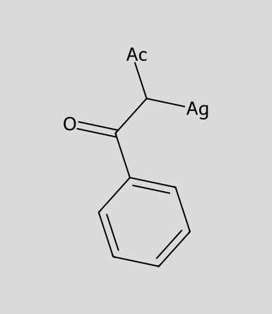 CC(=O)[CH]([Ag])C(=O)c1ccccc1